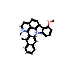 COc1cccc2c1c1ccc3cc[n+](C)c4c5c(C)c6ccccc6cc5n2c1c34